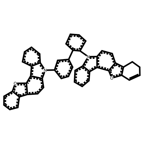 C1=Cc2oc3c(ccc4c3c3ccccc3n4-c3ccccc3-c3cccc(-n4c5ccccc5c5c6oc7ccccc7c6ccc54)c3)c2CC1